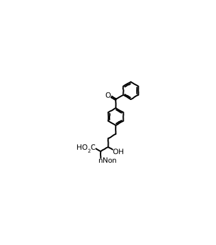 CCCCCCCCCC(C(=O)O)C(O)CCc1ccc(C(=O)c2ccccc2)cc1